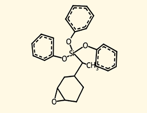 CC(C1CCC2OC2C1)[Si](Oc1ccccc1)(Oc1ccccc1)Oc1ccccc1